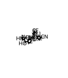 Cc1n[nH]cc1C(O)c1cccc(NC(=O)c2cc(C(F)(F)F)nn2-c2cccc(C#N)c2)c1